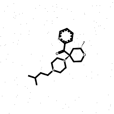 CC(C)CCN1CCN([C@]2(C(=O)c3ccccn3)CCO[C@@H](C)C2)CC1